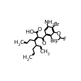 C=CCC(=C(C(=O)O)C(=O)c1cc(N)c(Br)c(OC(F)F)c1Br)C(C=C)CC=C